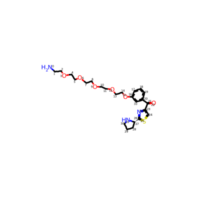 NCCOCCOCCOCCOCCOc1cccc(C(=O)c2csc([C@@H]3CCCN3)n2)c1